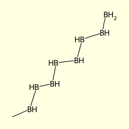 BBBBBBBBC